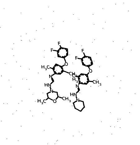 Cc1cc(Oc2ccc(F)c(F)c2)c(C)cc1N=CNN1CC(C)OC(C)C1.Cc1cc(Oc2ccc(F)c(F)c2)c(C)cc1N=CNN1CCCCC1